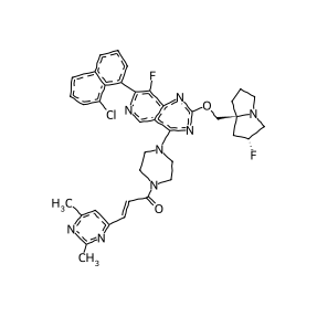 Cc1cc(C=CC(=O)N2CCN(c3nc(OC[C@@]45CCCN4C[C@H](F)C5)nc4c(F)c(-c5cccc6cccc(Cl)c56)ncc34)CC2)nc(C)n1